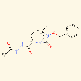 O=C(NNC(=O)C(F)(F)F)[C@@H]1CC[C@H]2CN1C(=O)N2OCc1ccccc1